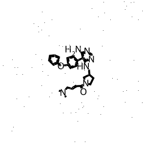 CN(C)CC=CC(=O)N1CCC(CNc2ncnc(N)c2-c2ccc(Oc3ccccc3)cc2)C1